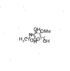 CO[C@@H]1C(CO)O[C@H]2OC(C)=NC2[C@H]1O